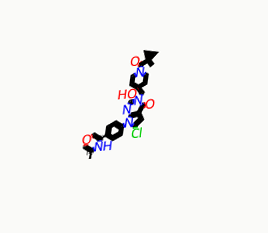 C[C@H]1COC[C@@H](c2ccc(-n3c(Cl)cc4c(=O)n(CC5(O)CCN(C(=O)C6(C)CC6)CC5)cnc43)cc2)N1